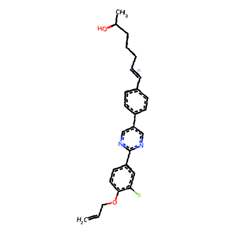 C=CCOc1ccc(-c2ncc(-c3ccc(/C=C/CCCC(C)O)cc3)cn2)cc1F